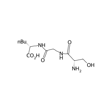 CCCC[C@H](NC(=O)CNC(=O)[C@@H](N)CO)C(=O)O